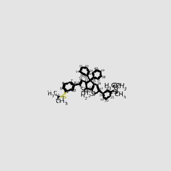 CC(C)Sc1cccc(C2=CC3=C([SiH2]2)C2=C(C=C(c4cccc([Si](C)(C)C)c4)[SiH2]2)C3(c2ccccc2)c2ccccc2)c1